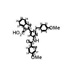 COc1ccc(Cn2nc(NC(=O)c3ccc(OC)cn3)cc2-c2nc3ccccc3n2C(=O)O)cc1